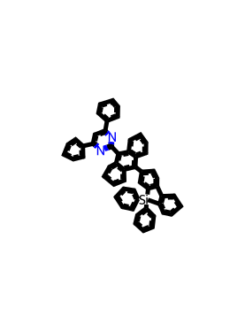 c1ccc(-c2cc(-c3ccccc3)nc(-c3c4ccccc4c(-c4ccc5c(c4)[Si](c4ccccc4)(c4ccccc4)c4ccccc4-5)c4ccccc34)n2)cc1